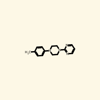 Cc1ccc(N2CCN(c3ncccn3)CC2)cc1